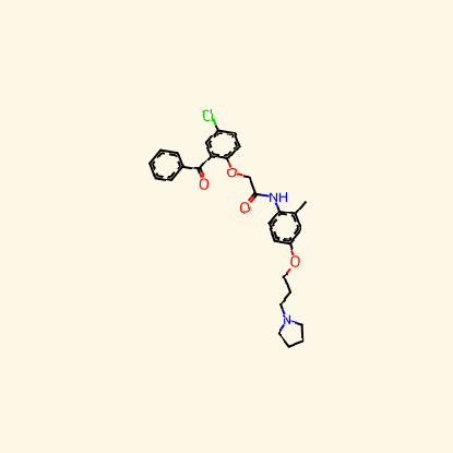 Cc1cc(OCCCN2CCCC2)ccc1NC(=O)COc1ccc(Cl)cc1C(=O)c1ccccc1